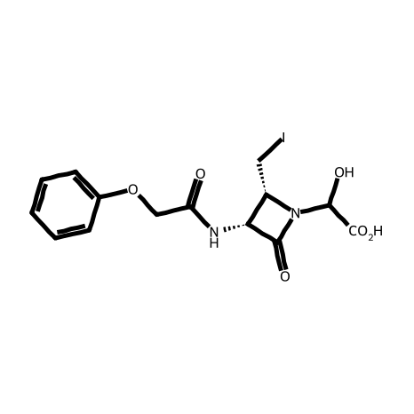 O=C(COc1ccccc1)N[C@H]1C(=O)N(C(O)C(=O)O)[C@H]1CI